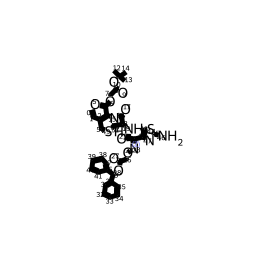 C=CC1=C(C(=O)OCC(=O)OC(C)(C)C)N2C(=O)C(NC(=O)/C(=N\OCC(=O)OC(c3ccccc3)c3ccccc3)c3csc(N)n3)[C@H]2SC1